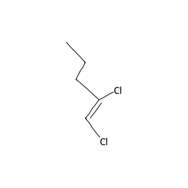 CCCC(Cl)=CCl